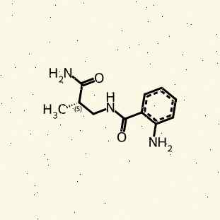 C[C@@H](CNC(=O)c1ccccc1N)C(N)=O